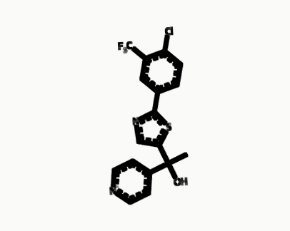 CC(O)(c1ccncc1)c1cnc(-c2ccc(Cl)c(C(F)(F)F)c2)s1